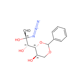 [N-]=[N+]=N[C@](O)(C=O)[C@@H](O)[C@@H]1OC(c2ccccc2)OC[C@H]1O